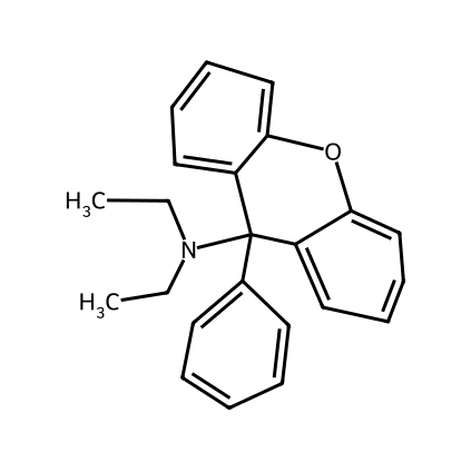 CCN(CC)C1(c2ccccc2)c2ccccc2Oc2ccccc21